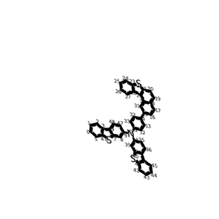 c1ccc2c(c1)sc1cc(N(c3ccc(-c4ccc5ccc6sc7ccccc7c6c5c4)cc3)c3ccc4c(c3)sc3ccccc34)ccc12